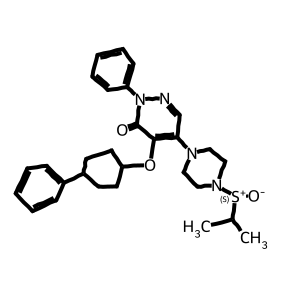 CC(C)[S@@+]([O-])N1CCN(c2cnn(-c3ccccc3)c(=O)c2OC2CCC(c3ccccc3)CC2)CC1